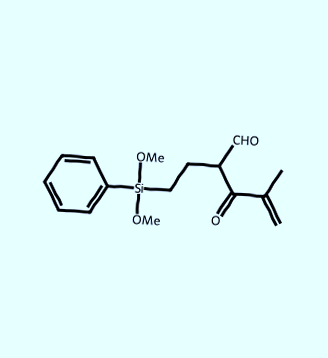 C=C(C)C(=O)C(C=O)CC[Si](OC)(OC)c1ccccc1